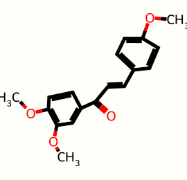 COc1ccc(C=CC(=O)c2ccc(OC)c(OC)c2)cc1